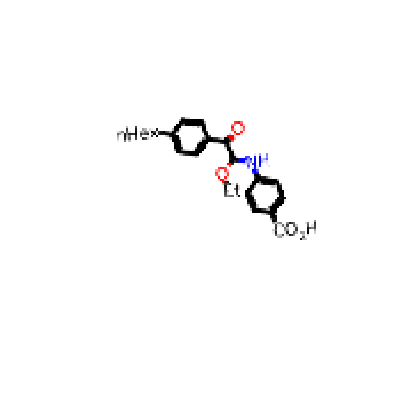 CCCCCCc1ccc(C(=O)C(Nc2ccc(C(=O)O)cc2)OCC)cc1